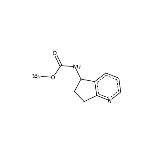 CC(C)(C)OC(=O)NC1CCc2ncccc21